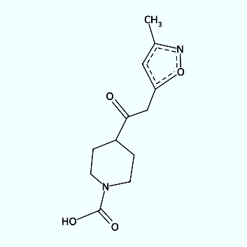 Cc1cc(CC(=O)C2CCN(C(=O)O)CC2)on1